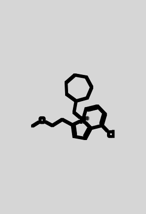 COCCC1=CC=C2C(Cl)=CC=C[N+]12CC1CCCCCC1